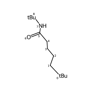 CC(C)(C)CCCCC(=O)NC(C)(C)C